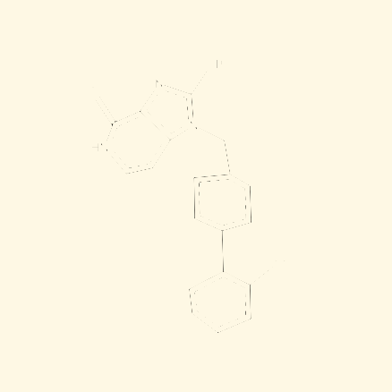 CCCCc1nc2c(=O)[nH]ccc2n1Cc1ccc(-c2ccccc2C(=O)O)cc1